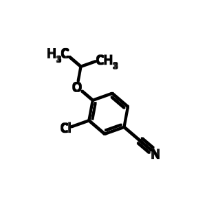 CC(C)Oc1ccc(C#N)cc1Cl